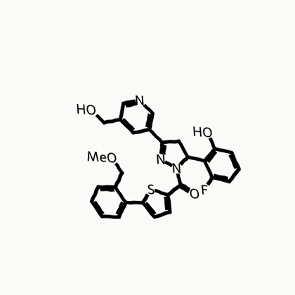 COCc1ccccc1-c1ccc(C(=O)N2N=C(c3cncc(CO)c3)CC2c2c(O)cccc2F)s1